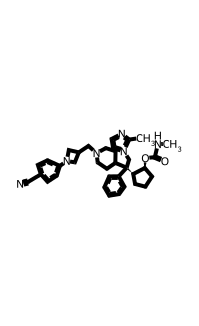 CNC(=O)O[C@H]1CCC[C@@H]1C(Cn1ccnc1C)(c1ccccc1)C1CCN(CC2CN(c3ccc(C#N)cc3)C2)CC1